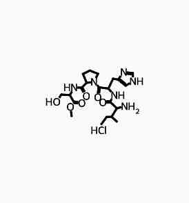 CCC(C)C(N)C(=O)NC(Cc1c[nH]cn1)C(=O)N1CCCC1C(=O)NC(CO)C(=O)OC.Cl